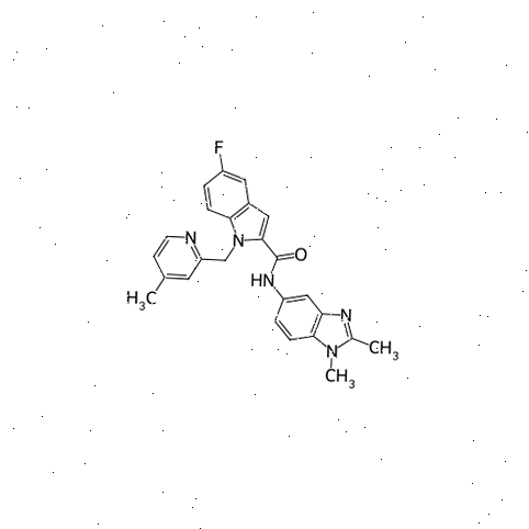 Cc1ccnc(Cn2c(C(=O)Nc3ccc4c(c3)nc(C)n4C)cc3cc(F)ccc32)c1